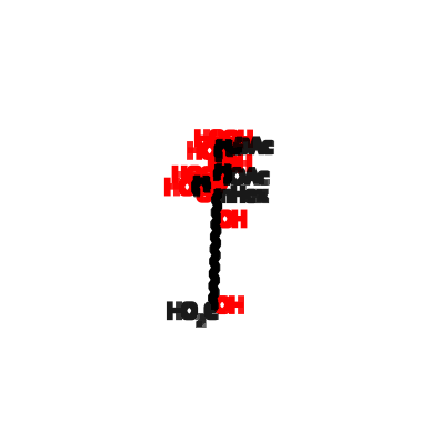 CCCCCCC(CCCC(O)CCCCCCCCCCCCCC(O)C(=O)O)OC1OCC(O)C(O)C1OC1OCC(OC(C)=O)C(O)C1OC1OC(COC(C)=O)C(O)C(O)C1O